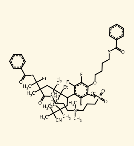 CCC(C)(SC(=O)c1ccccc1)C(C)(CC(C)(C)C(C)(CC)C(CC(C)(C)C(C)(C)C#N)c1c(F)c(F)c(OCCCCSC(=O)c2ccccc2)c(F)c1F)C(=O)NCCC[N+](C)(C)CCCS(=O)(=O)[O-]